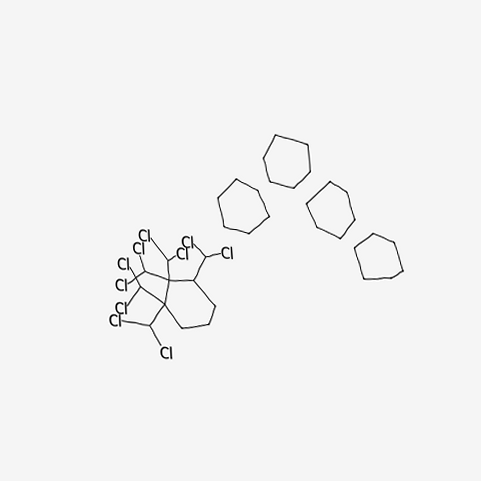 C1CCCCC1.C1CCCCC1.C1CCCCC1.C1CCCCC1.ClC(Cl)C1CCCC(C(Cl)Cl)(C(Cl)Cl)C1(C(Cl)Cl)C(Cl)Cl